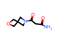 NC(=O)[CH]C(=O)N1CC2(COC2)C1